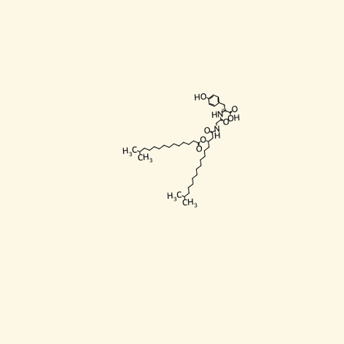 CC(C)CCCCCCCCCCCC(=O)OC(CCCCCCCCCCCC(C)C)CC(=O)NCC(=O)N[C@@H](Cc1ccc(O)cc1)C(=O)O